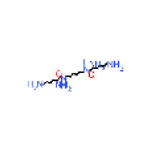 NCCCC[C@H](N)C(=O)NCCCCCCNC(=O)[C@@H](N)CCCCN